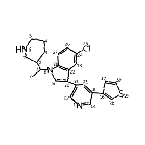 CC(C1CCCNC1)n1cc(-c2cncc(-c3ccsc3)c2)c2cc(Cl)ccc21